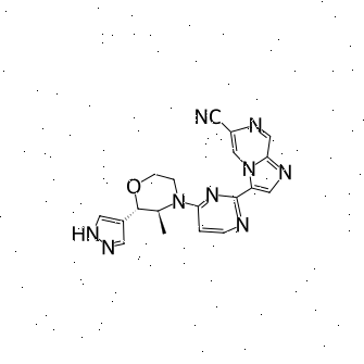 C[C@H]1[C@H](c2cn[nH]c2)OCCN1c1ccnc(-c2cnc3cnc(C#N)cn23)n1